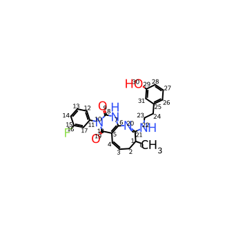 CC1C/C=C\c2c([nH]c(=O)n(-c3cccc(F)c3)c2=O)/N=C\1NCCc1cccc(O)c1